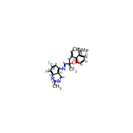 CC=C(CC(O)(C=Nc1cc(F)c(F)c2nc(C)ncc12)C(F)(F)F)c1cccc(F)c1OC